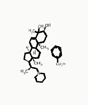 C[C@H](CN1CCCCC1)[C@H]1CC[C@H]2C3=CC=C4C(C)(C)[C@@H](O)CC[C@]4(C)[C@H]3CC[C@]12C.O=C(O)c1ccccc1